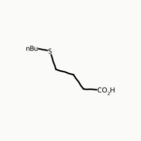 CCCCSCCCC(=O)O